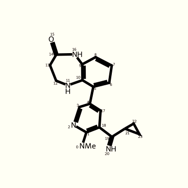 CNc1ncc(-c2cccc3c2NCCC(=O)N3)cc1C(=N)C1CC1